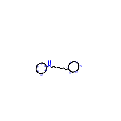 C1=C\C=C/C=C\C(CCCCCCCNC2=C/C=C\C=C/C=C\C=C/C=C\2)=C/C=C\C=C/1